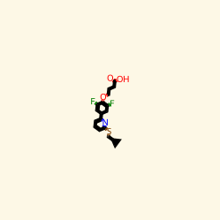 O=C(O)CCCOC1=C(F)CC(c2cccc(SCC3CC3)n2)C=C1F